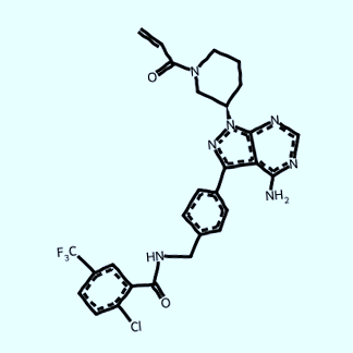 C=CC(=O)N1CCC[C@@H](n2nc(-c3ccc(CNC(=O)c4cc(C(F)(F)F)ccc4Cl)cc3)c3c(N)ncnc32)C1